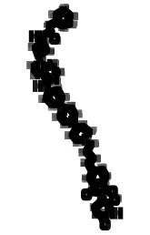 O=C1CC[C@H](N2C(=O)c3ccc(CCCCN4CCC(N5CCN(c6ccc(Nc7ncnc8c7ncn8C7CC(NC(=O)Cc8ccccc8)C7)cc6)CC5)CC4)cc3C2=O)C(=O)N1